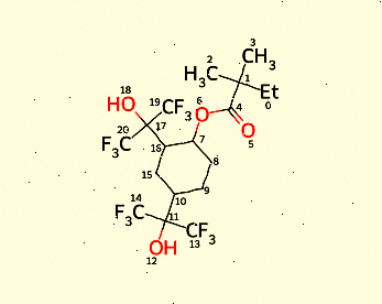 CCC(C)(C)C(=O)OC1CCC(C(O)(C(F)(F)F)C(F)(F)F)CC1C(O)(C(F)(F)F)C(F)(F)F